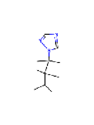 CC(C)C(C)(C)C(C)(C)n1cncn1